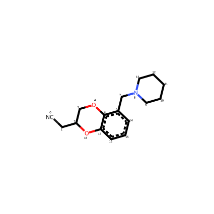 N#CCC1COc2c(CN3CCCCC3)cccc2O1